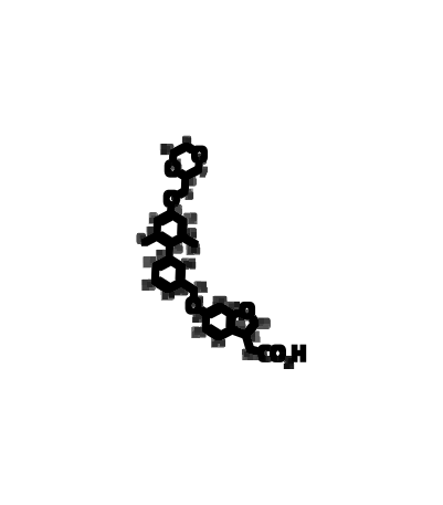 Cc1cc(OCC2COCCO2)cc(C)c1-c1cccc(COc2ccc3c(c2)OCC3CC(=O)O)c1